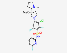 COC1(C2CCCN2C)CCN(c2cc(F)c(S(=O)(=O)Nc3cccc(F)n3)c(F)c2Cl)C1